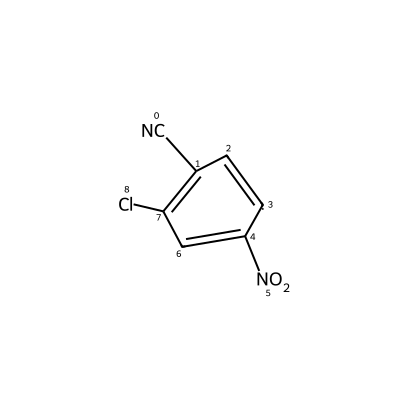 N#Cc1c[c]c([N+](=O)[O-])cc1Cl